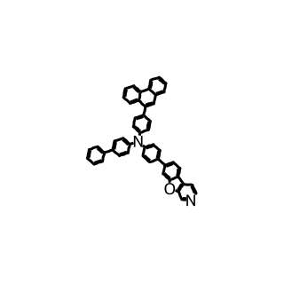 c1ccc(-c2ccc(N(c3ccc(-c4ccc5c(c4)oc4cnccc45)cc3)c3ccc(-c4cc5ccccc5c5ccccc45)cc3)cc2)cc1